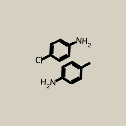 Cc1ccc(N)cc1.Nc1ccc(Cl)cc1